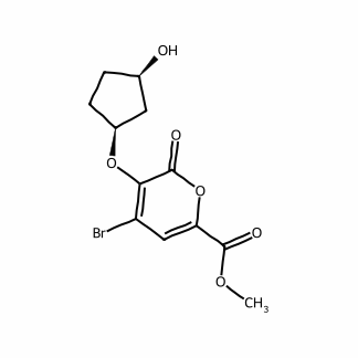 COC(=O)c1cc(Br)c(O[C@H]2CC[C@@H](O)C2)c(=O)o1